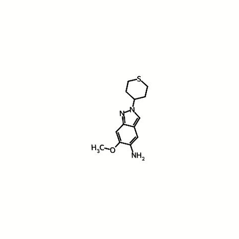 COc1cc2nn(C3CCSCC3)cc2cc1N